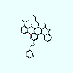 CCCCN(C(=O)Nc1c(C(C)C)cccc1C(C)C)c1c(-c2cccc(OCc3cccnc3)c2)c2cccnc2[nH]c1=O